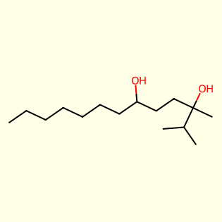 CCCCCCCC(O)CCC(C)(O)C(C)C